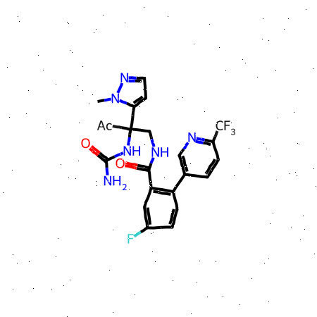 CC(=O)C(CNC(=O)c1cc(F)ccc1-c1ccc(C(F)(F)F)nc1)(NC(N)=O)c1ccnn1C